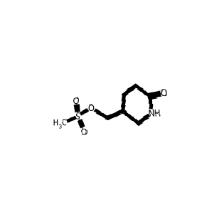 CS(=O)(=O)OCC1CCC(=O)NC1